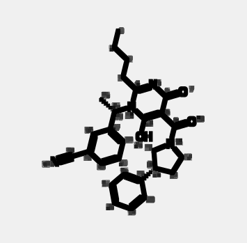 CCCCc1nc(=O)c(C(=O)N2CC[C@H](c3ccccc3)C2)c(O)n1[C@@H](C)c1cccc(C#N)c1